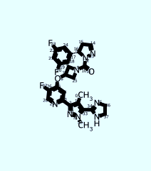 Cc1c(-c2cc(OC3CN(C(=O)N4N=CC[C@H]4c4cc(F)cc(F)c4)C3)c(F)cn2)nn(C)c1C1=NCCN1